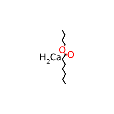 CCCCCCC(=O)OCCCC.[CaH2]